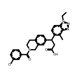 CCn1nnc2c(C)c(C(CC(=O)O)c3ccc4c(c3)CN(C(=O)c3cccc(Cl)c3)CC4)ccc21